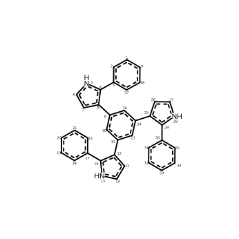 c1ccc(-c2[nH]ccc2-c2cc(-c3cc[nH]c3-c3ccccc3)cc(-c3cc[nH]c3-c3ccccc3)c2)cc1